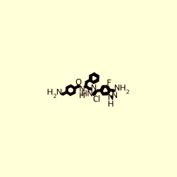 NCC1CCC(C(=O)NC(Cc2ccccc2)c2nc(-c3cc(F)c4c(N)n[nH]c4c3)c(Cl)[nH]2)CC1